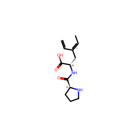 C=C/C(=C\C)C[C@H](NC(=O)[C@@H]1CCCN1)C(=O)O